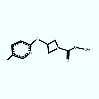 CC(C)(C)OC(=O)N1CC(Oc2ccc(I)cn2)C1